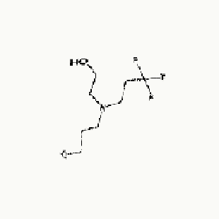 [O]CCCN(CCO)CCC(F)(F)F